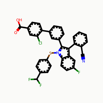 N#Cc1ccccc1-c1c(-c2cccc(-c3ccc(C(=O)O)cc3Cl)c2)n(Sc2ccc(C(F)F)cc2)c2ccc(F)cc12